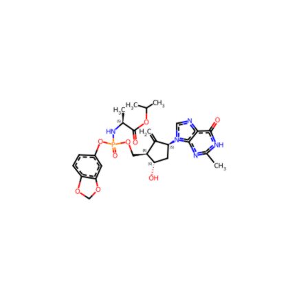 C=C1[C@H](COP(=O)(N[C@@H](C)C(=O)OC(C)C)Oc2ccc3c(c2)OCO3)[C@@H](O)C[C@@H]1n1cnc2c(=O)[nH]c(C)nc21